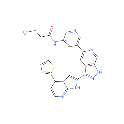 CCCC(=O)Nc1cncc(-c2cc3c(-c4cc5c(-c6cccs6)ccnc5[nH]4)n[nH]c3cn2)c1